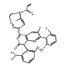 C=CC(=O)N1CCOSN(c2nc(=O)n(-c3c(CC)cccc3[S+]([O-])C(C)C)c3nc(-c4c(O)cccc4F)c(F)cc23)/C=C/1C